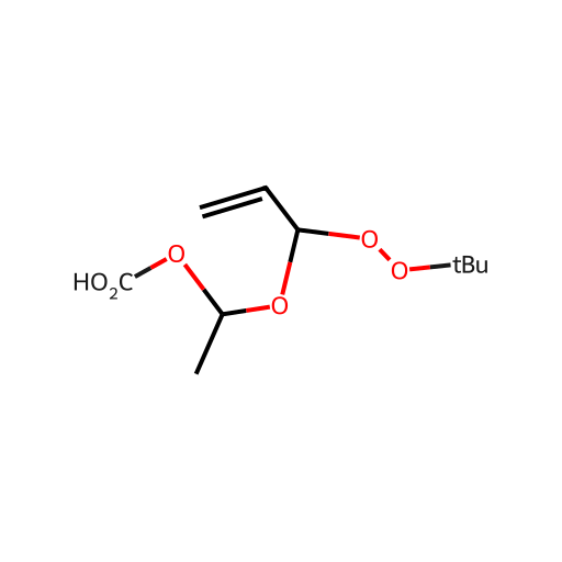 C=CC(OOC(C)(C)C)OC(C)OC(=O)O